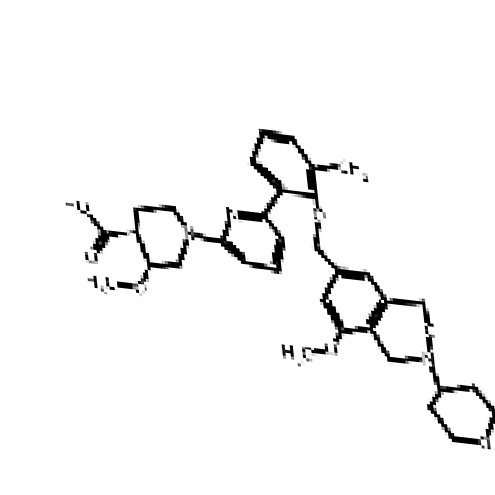 COc1cc(COc2c(C)cccc2-c2cccc(N3CC[C@H](C(=O)O)[C@H](OC)C3)n2)cc2c1CN(C1CCOCC1)CC2